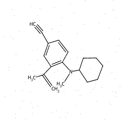 C#Cc1ccc(N(C)C2CCCCC2)c(C(=C)C)c1